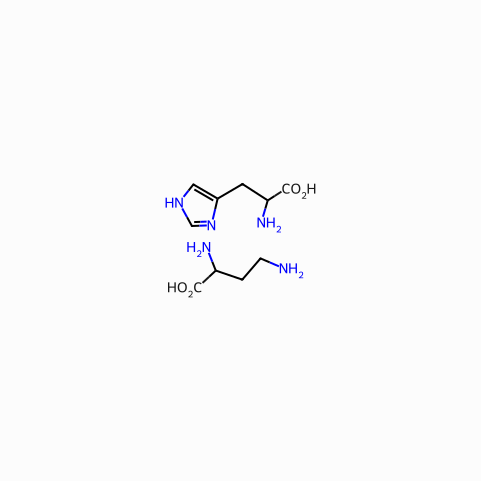 NC(Cc1c[nH]cn1)C(=O)O.NCCC(N)C(=O)O